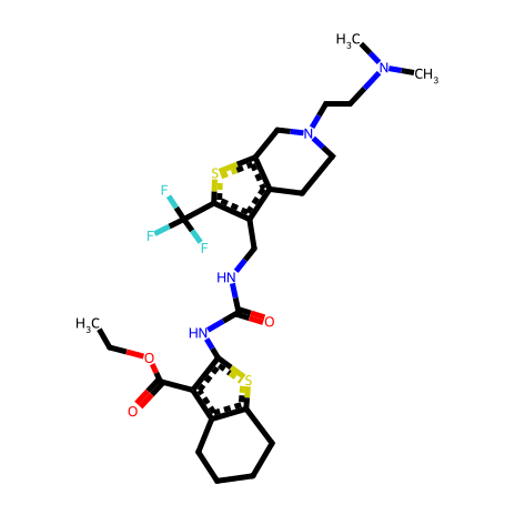 CCOC(=O)c1c(NC(=O)NCc2c(C(F)(F)F)sc3c2CCN(CCN(C)C)C3)sc2c1CCCC2